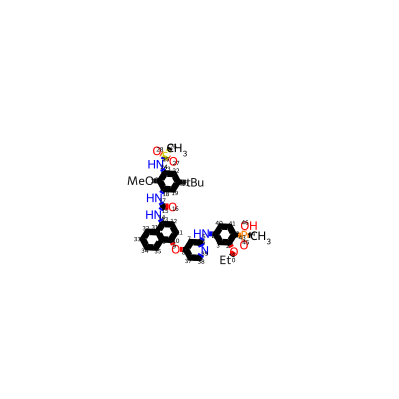 CCOc1cc(Nc2cc(Oc3ccc(NC(=O)Nc4cc(C(C)(C)C)cc(NS(C)(=O)=O)c4OC)c4ccccc34)ccn2)ccc1P(C)(=O)O